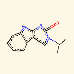 CC(C)n1cc2c(nc1=O)[nH]c1ccccc12